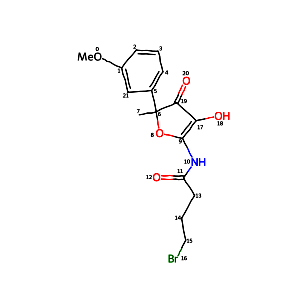 COc1cccc(C2(C)OC(NC(=O)CCCBr)=C(O)C2=O)c1